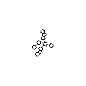 c1ccc(-c2nc(-c3ccc4c(c3)oc3ccccc34)nc(-c3cc(-c4ccccc4-c4ccccc4)c4c(c3)oc3ccccc34)n2)cc1